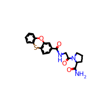 NC(=O)C1CCCN1C(=O)CNC(=O)c1ccc2c(c1)Oc1ccccc1S2